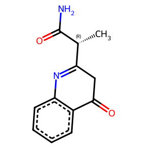 C[C@@H](C(N)=O)C1=Nc2ccccc2C(=O)C1